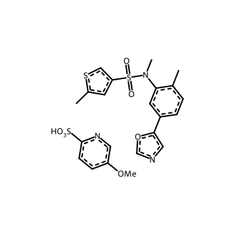 COc1ccc(S(=O)(=O)O)nc1.Cc1cc(S(=O)(=O)N(C)c2cc(-c3cnco3)ccc2C)cs1